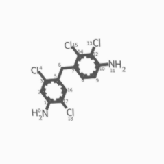 Nc1cc(Cl)c(Cc2ccc(N)c(Cl)c2Cl)cc1Cl